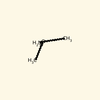 CCCCCCCCC=CCCCCCCCCOC(CN)COCCCCCCCCCCCCCC